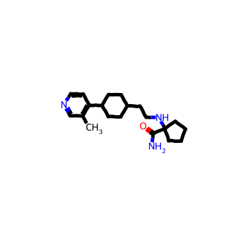 Cc1cnccc1C1CCC(CCNC2(C(N)=O)CCCC2)CC1